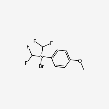 COc1ccc(S(Br)(C(F)F)C(F)F)cc1